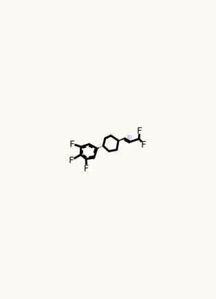 Fc1cc([C@H]2CC[C@H](/C=C/C(F)F)CC2)cc(F)c1F